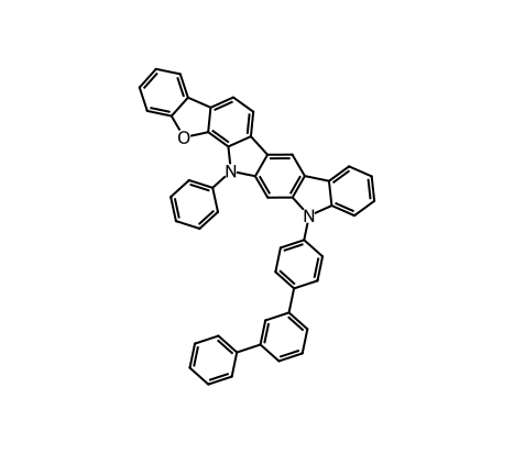 c1ccc(-c2cccc(-c3ccc(-n4c5ccccc5c5cc6c7ccc8c9ccccc9oc8c7n(-c7ccccc7)c6cc54)cc3)c2)cc1